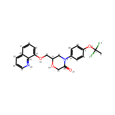 CC(F)(F)Oc1ccc(N2CC(COc3cccc4cccnc34)OCC2=O)cc1